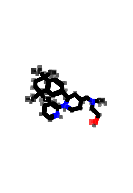 CN(CCO)CC1CCN(c2ccccn2)C(c2ccc3c(c2)C(C)(C)CCC3(C)C)C1